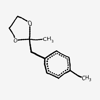 Cc1ccc(CC2(C)OCCO2)cc1